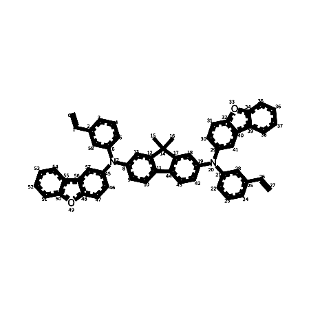 C=Cc1cccc(N(c2ccc3c(c2)C(C)(C)c2cc(N(c4cccc(C=C)c4)c4ccc5oc6ccccc6c5c4)ccc2-3)c2ccc3oc4ccccc4c3c2)c1